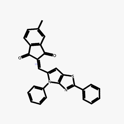 Cc1ccc2c(c1)C(=O)/C(=C\c1cc3sc(-c4ccccc4)nc3n1-c1ccccc1)C2=O